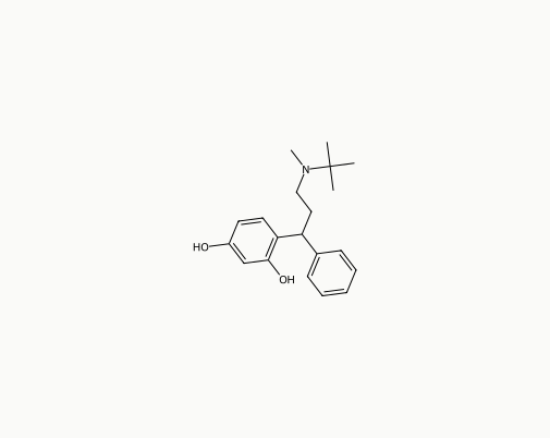 CN(CCC(c1ccccc1)c1ccc(O)cc1O)C(C)(C)C